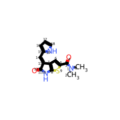 CN(C)C(=O)c1cc2c(s1)NC(=O)/C2=C/c1ccc[nH]1